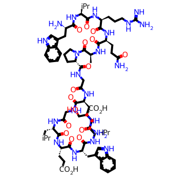 CC(C)C[C@H](NC(=O)CNC(=O)[C@H](CCCCN)NC(=O)CNC(=O)[C@@H]1CCCN1C(=O)[C@H](C)NC(=O)[C@H](CCC(N)=O)NC(=O)[C@H](CCCNC(=N)N)NC(=O)[C@@H](NC(=O)[C@@H](N)Cc1c[nH]c2ccccc12)C(C)C)C(=O)N[C@@H](CCC(=O)O)C(=O)N[C@@H](Cc1c[nH]c2ccccc12)C(=O)N[C@H](C(=O)N[C@@H](CO)C(=O)O)C(C)C